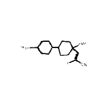 CCCCCCCC1CCC(C2CCC(C=C(F)C#N)(OC)CC2)CC1